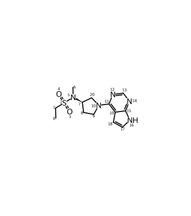 CCS(=O)(=O)N(C)[C@@H]1CCN(c2ncnc3[nH]ccc23)C1